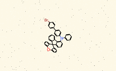 Brc1ccc(-c2ccc(N(c3ccccc3)c3cccc4c3-c3ccccc3C43c4ccccc4Oc4ccccc43)cc2)cc1